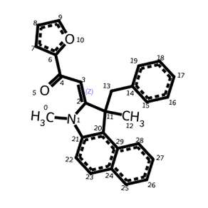 CN1/C(=C\C(=O)c2ccco2)C(C)(Cc2ccccc2)c2c1ccc1ccccc21